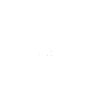 CCCCCCOc1c(O)c2cc(OCCC(O)CO)ccc2oc1=O